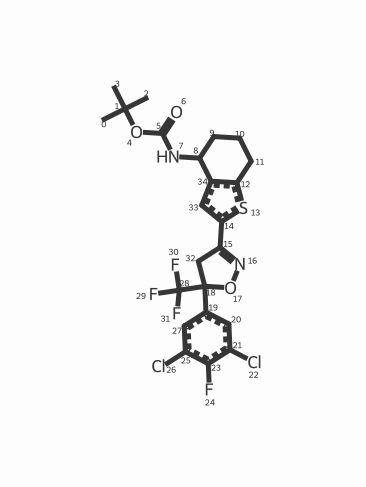 CC(C)(C)OC(=O)NC1CCCc2sc(C3=NOC(c4cc(Cl)c(F)c(Cl)c4)(C(F)(F)F)C3)cc21